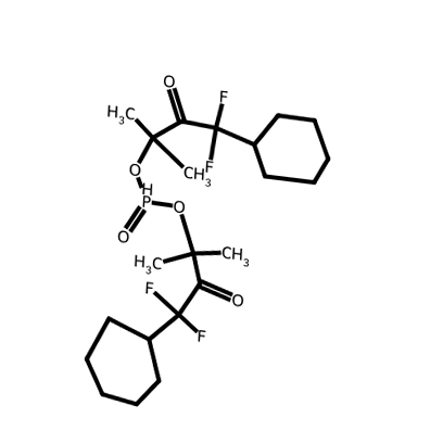 CC(C)(O[PH](=O)OC(C)(C)C(=O)C(F)(F)C1CCCCC1)C(=O)C(F)(F)C1CCCCC1